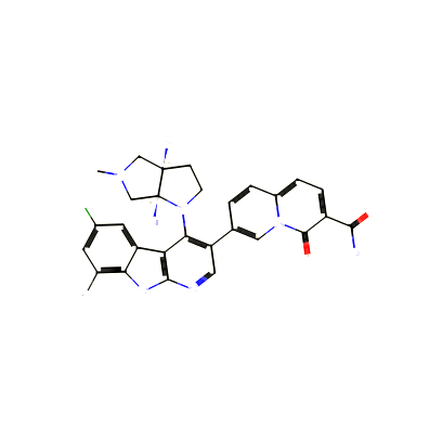 CNc1cc(F)cc2c1[nH]c1ncc(-c3ccc4ccc(C(N)=O)c(=O)n4c3)c(N3CC[C@@]4(N)CN(C)C[C@@]34N)c12